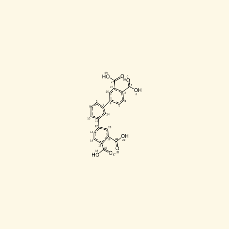 O=C(O)c1ccc(-c2c[c]cc(-c3ccc(C(=O)O)c(C(=O)O)c3)c2)cc1C(=O)O